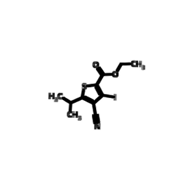 CCOC(=O)c1sc(C(C)C)c(C#N)c1I